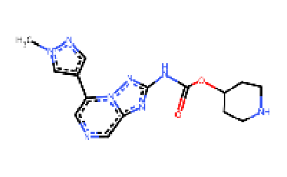 Cn1cc(-c2cncc3nc(NC(=O)OC4CCNCC4)nn23)cn1